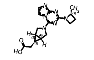 C[C@H]1CCN1c1nc(N2C[C@@H]3[C@@H](CC(=O)O)[C@@H]3C2)n2ccnc2n1